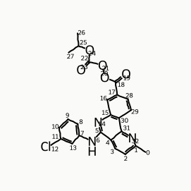 Cc1ccc2c(Nc3cccc(Cl)c3)nc3cc(C(=O)OOC(=O)OC(C)C)ccc3c2n1